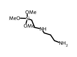 CO[Si](CCNCCCN)(OC)OC